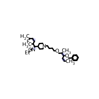 C=C(F)/C=C\C(C)/C(=N\OCC)C1CCN(CCCCOC/C(C)=C(\C=C/C)OCc2ccccc2)CC1